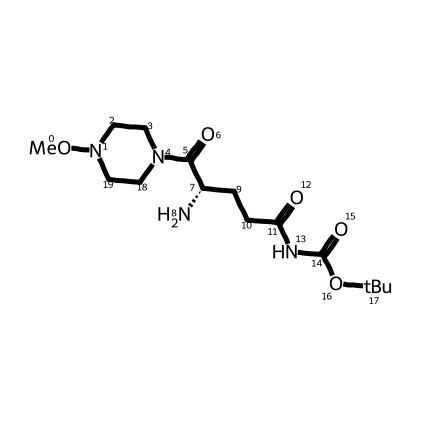 CON1CCN(C(=O)[C@@H](N)CCC(=O)NC(=O)OC(C)(C)C)CC1